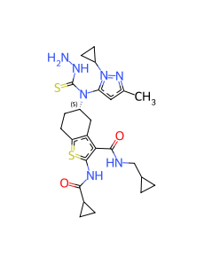 Cc1cc(N(C(=S)NN)[C@H]2CCc3sc(NC(=O)C4CC4)c(C(=O)NCC4CC4)c3C2)n(C2CC2)n1